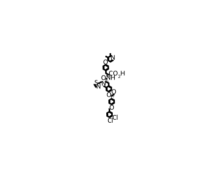 Cc1nccc(Oc2ccc(C[C@H](NC(=O)[C@@H]3Cc4cc5c(cc4CN3Cc3nccs3)O[C@@H](c3ccc(OCc4ccc(Cl)c(Cl)c4)cc3)CO5)C(=O)O)cc2)c1C